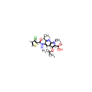 CCc1nc2c(cc1NC(=O)c1sccc1Cl)c(OC(C)C)c(C(=O)O)n2C